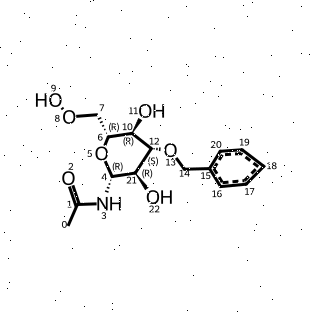 CC(=O)N[C@@H]1O[C@H](COO)[C@@H](O)[C@H](OCc2ccccc2)[C@H]1O